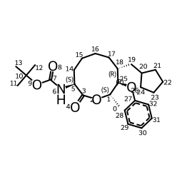 C[C@@H]1OC(=O)[C@@H](NC(=O)OC(C)(C)C)CCCC[C@H](CC2CCCC2)[C@H]1Oc1ccccc1